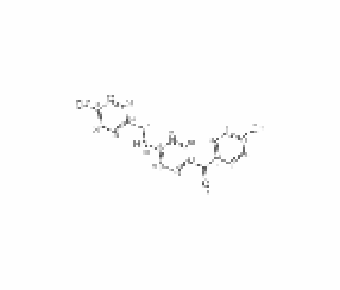 O=C(c1ccc(Cl)cc1)c1cnc(NCc2ccc(Cl)cc2)nc1